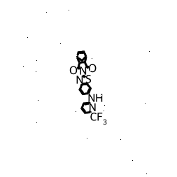 O=C1C2C3C=CC(C3)C2C(=O)N1c1nc2ccc(Nc3cccc(C(F)(F)F)n3)cc2s1